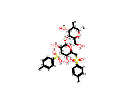 Cc1ccc(S(=O)(=O)CC2O[C@@H](O[C@@H]3C(CO)O[C@@H](C)C(C)[C@H]3O)C(O)[C@@H](S(=O)(=O)c3ccc(C)cc3)[C@@H]2O)cc1